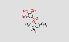 CC1CCC(C(C)C)C(OC(=O)c2cc(O)c(O)c(O)c2)C1